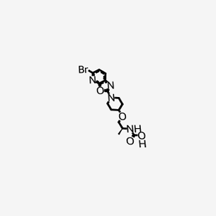 C[C@@H](COC1CCN(c2nc3ccc(Br)nc3o2)CC1)NC(=O)O